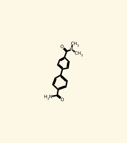 CN(C)C(=O)c1ccc(-c2ccc(C(N)=O)cc2)cc1